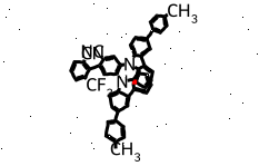 Cc1ccc(-c2ccc3c(c2)c2ccccc2n3-c2cc(C#N)c(-c3c(C#N)cccc3C(F)(F)F)cc2-n2c3ccccc3c3cc(-c4ccc(C)cc4)ccc32)cc1